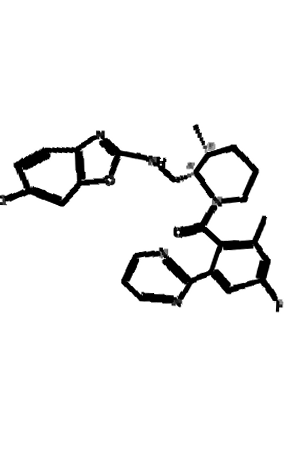 Cc1cc(F)cc(-c2ncccn2)c1C(=O)N1CCC[C@@H](C)[C@H]1CNc1nc2ccc(Cl)cc2o1